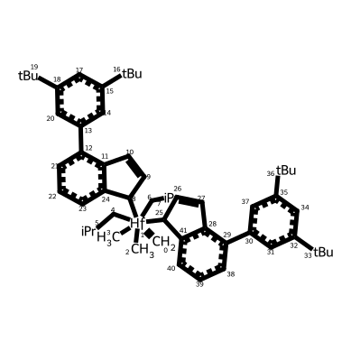 [CH2]=[Hf]([CH3])([CH3])([CH2]C(C)C)([CH2]C(C)C)([CH]1C=Cc2c(-c3cc(C(C)(C)C)cc(C(C)(C)C)c3)cccc21)[CH]1C=Cc2c(-c3cc(C(C)(C)C)cc(C(C)(C)C)c3)cccc21